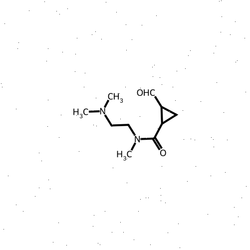 CN(C)CCN(C)C(=O)C1CC1C=O